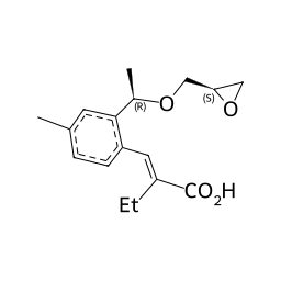 CCC(=Cc1ccc(C)cc1[C@@H](C)OC[C@H]1CO1)C(=O)O